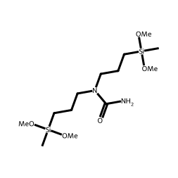 CO[Si](C)(CCCN(CCC[Si](C)(OC)OC)C(N)=O)OC